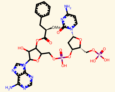 CO[C@H](Cc1ccccc1)C(=O)OC1C(COP(=O)(O)O[C@H]2C[C@H](n3ccc(N)nc3=O)O[C@@H]2COP(=O)(O)O)OC(n2cnc3c(N)ncnc32)C1O